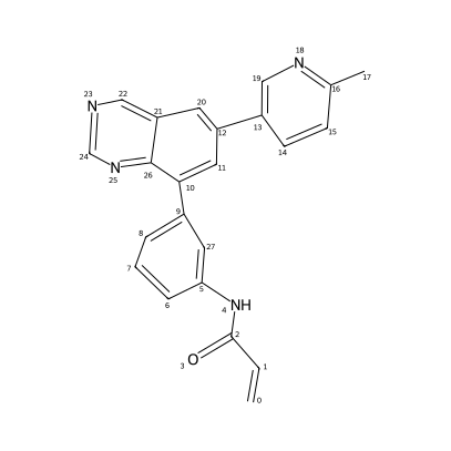 C=CC(=O)Nc1cccc(-c2cc(-c3ccc(C)nc3)cc3cncnc23)c1